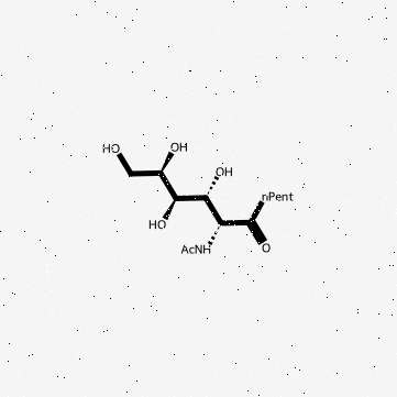 CCCCCC(=O)[C@H](NC(C)=O)[C@@H](O)[C@@H](O)[C@H](O)CO